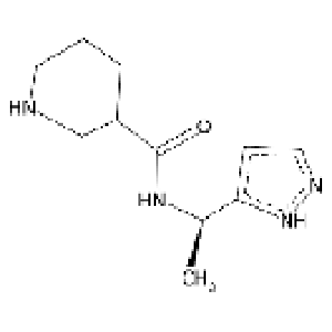 C[C@@H](NC(=O)C1CCCNC1)c1ccn[nH]1